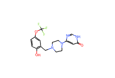 O=c1cc(N2CCN(Cc3cc(OC(F)(F)F)ccc3O)CC2)nc[nH]1